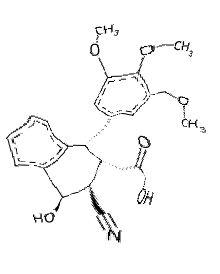 COc1cc([C@H]2c3ccccc3[C@H](O)[C@H](C#N)[C@H]2C(=O)O)cc(OC)c1OC